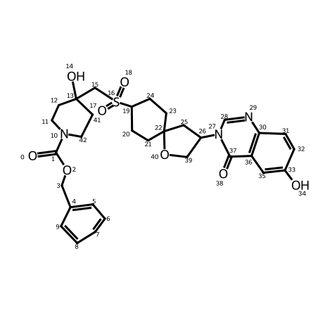 O=C(OCc1ccccc1)N1CCC(O)(CS(=O)(=O)C2CCC3(CC2)CC(n2cnc4ccc(O)cc4c2=O)CO3)CC1